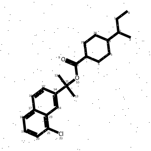 CCC(C)C1CCC(C(=O)OC(C)(C)c2ccc3cccc(Cl)c3c2)CC1